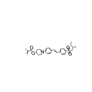 C=C(C)C(=O)OC1CCN(c2ccc(C=Cc3ccc(S(=O)(=O)C[C@H](C)CC)cc3)cc2)CC1